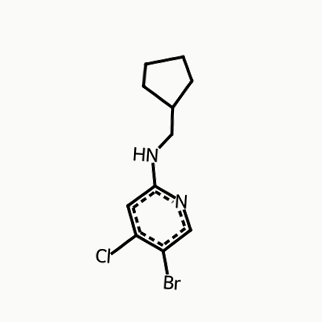 Clc1cc(NCC2CCCC2)ncc1Br